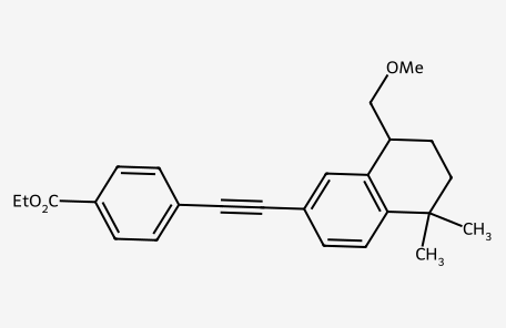 CCOC(=O)c1ccc(C#Cc2ccc3c(c2)C(COC)CCC3(C)C)cc1